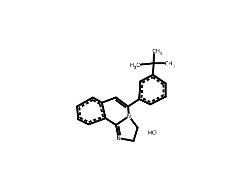 CC(C)(C)c1cccc(C2=Cc3ccccc3C3=NCCN23)c1.Cl